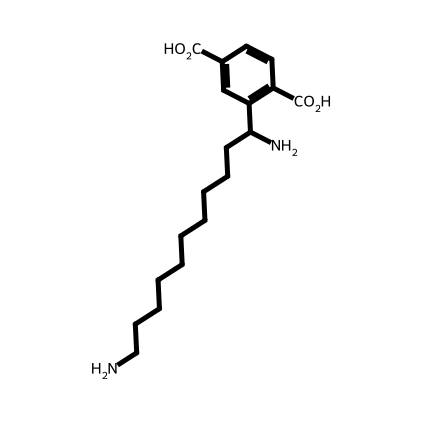 NCCCCCCCCCCC(N)c1cc(C(=O)O)ccc1C(=O)O